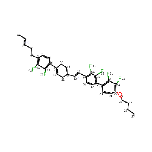 C/C=C/CCc1ccc(C2=CCC(/C=C/c3ccc(-c4ccc(OCCCC)c(F)c4F)c(F)c3F)CC2)c(F)c1F